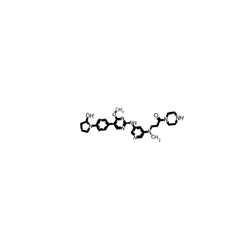 COc1nc(Nc2cncc(N(C)CCC(=O)N3CCNCC3)c2)ncc1-c1ccc(N2CCCC2O)cc1